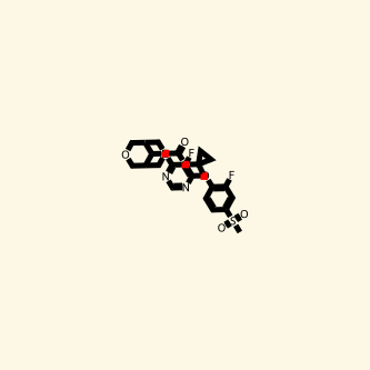 CC1(OC(=O)N2CC3COCC(C2)C3Oc2ncnc(Oc3ccc(S(C)(=O)=O)cc3F)c2F)CC1